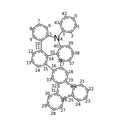 c1ccc(N2c3ccccc3-c3cccc(-c4ccc5c6ccccc6c6ccccc6c5c4)c3-c3ccccc32)cc1